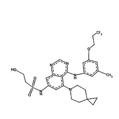 Cc1cc(Nc2ncnc3cc(NS(=O)(=O)CCO)cc(N4CCC5(CC4)CC5)c23)cc(OCCC(F)(F)F)c1